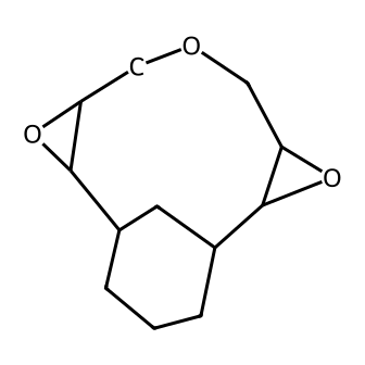 C1CC2CC(C1)C1OC1COCC1OC21